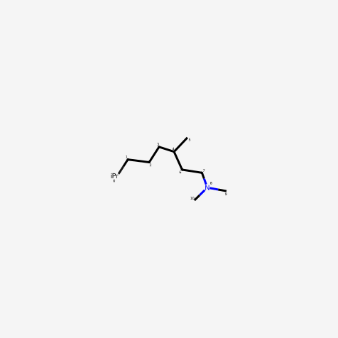 CC(C)CCCC(C)CCN(C)C